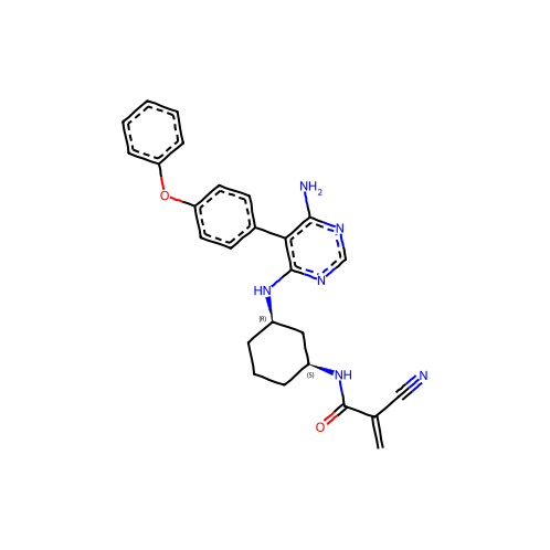 C=C(C#N)C(=O)N[C@H]1CCC[C@@H](Nc2ncnc(N)c2-c2ccc(Oc3ccccc3)cc2)C1